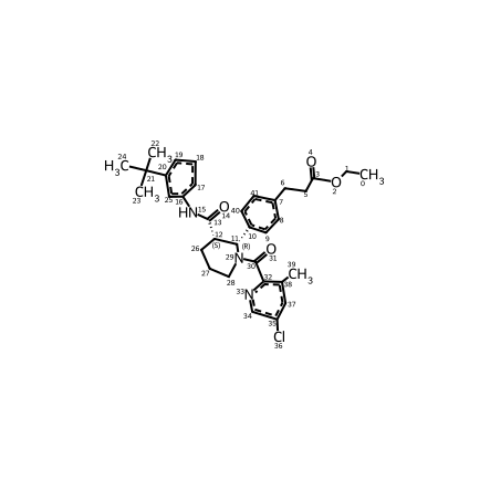 CCOC(=O)CCc1ccc([C@H]2[C@@H](C(=O)Nc3cccc(C(C)(C)C)c3)CCCN2C(=O)c2ncc(Cl)cc2C)cc1